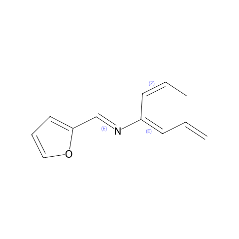 C=C/C=C(\C=C/C)/N=C/c1ccco1